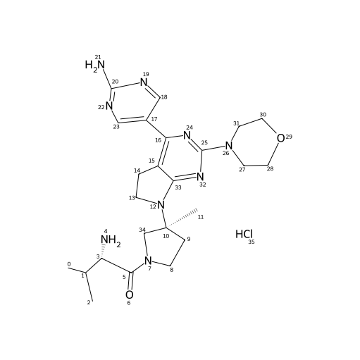 CC(C)[C@H](N)C(=O)N1CC[C@](C)(N2CCc3c(-c4cnc(N)nc4)nc(N4CCOCC4)nc32)C1.Cl